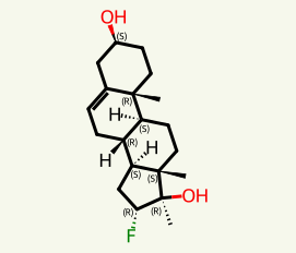 C[C@]12CC[C@H](O)CC1=CC[C@@H]1[C@@H]2CC[C@@]2(C)[C@H]1C[C@@H](F)[C@]2(C)O